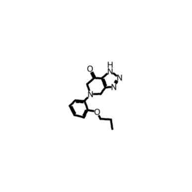 CCCOc1ccccc1N1CC(=O)c2[nH]nnc2C1